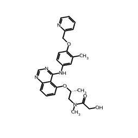 Cc1cc(Nc2ncnc3cccc(O[C@H](C)CN(C)C(=O)CO)c23)ccc1OCc1ccccn1